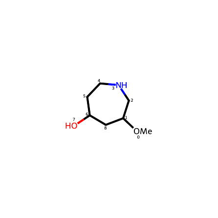 COC1CNCCC(O)C1